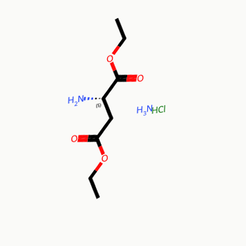 CCOC(=O)C[C@H](N)C(=O)OCC.Cl.N